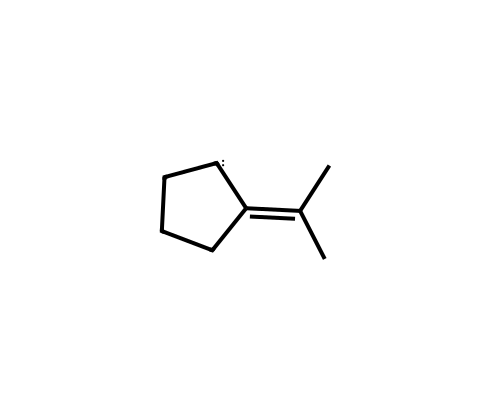 CC(C)=C1[C]CCC1